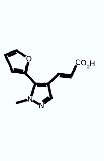 Cn1ncc(C=CC(=O)O)c1-c1ccco1